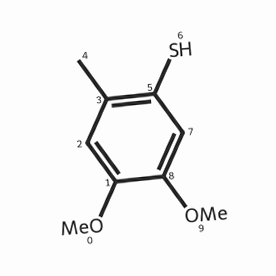 COc1cc(C)c(S)cc1OC